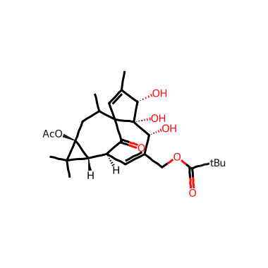 CC(=O)O[C@@]12CC(C)C34C=C(C)[C@H](O)[C@@]3(O)[C@H](O)C(COC(=O)C(C)(C)C)=C[C@H](C4=O)[C@@H]1C2(C)C